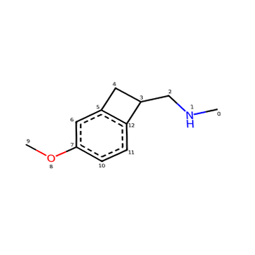 CNCC1Cc2cc(OC)ccc21